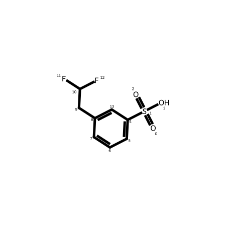 O=S(=O)(O)c1cccc(CC(F)F)c1